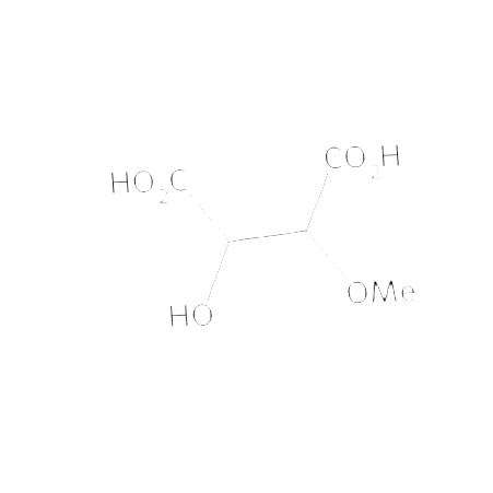 COC(C(=O)O)C(O)C(=O)O